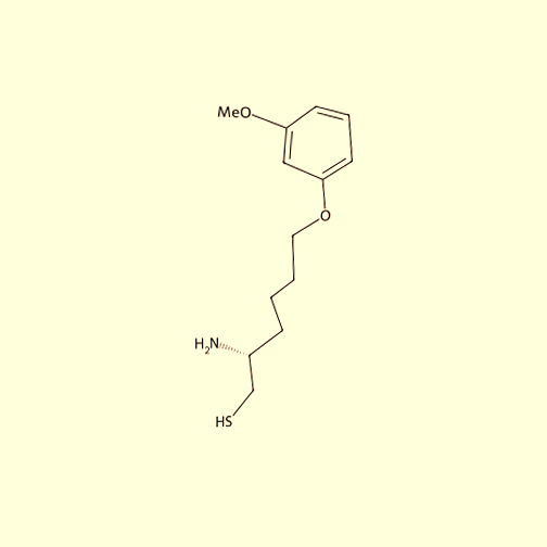 COc1cccc(OCCCC[C@@H](N)CS)c1